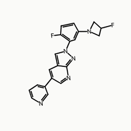 Fc1ccc(N2CC(F)C2)cc1-n1cc2cc(-c3cccnc3)cnc2n1